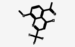 COc1ccc(C(C)=O)c2c(Cl)cc(C(F)(F)F)nc12